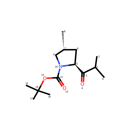 CC(C)C(=O)[C@@H]1C[C@@H](C)CN1C(=O)OC(C)(C)C